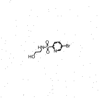 O=S(=O)(NCCO)c1ccc(Br)cn1